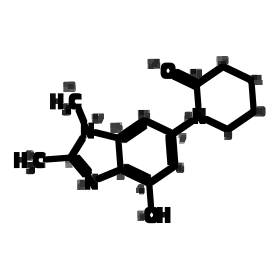 Cc1nc2c(O)cc(N3CCCCC3=O)cc2n1C